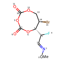 CON=CC(F)[C@@H]1OC(=O)OC(=O)OC[C@H]1Br